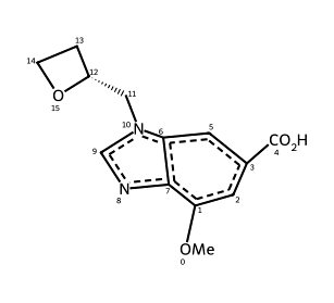 COc1cc(C(=O)O)cc2c1ncn2C[C@H]1CCO1